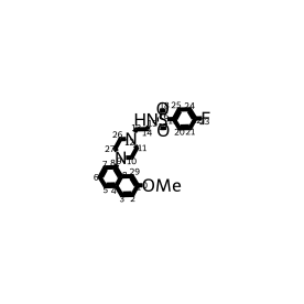 COc1ccc2cccc(N3CCN(CCNS(=O)(=O)c4ccc(F)cc4)CC3)c2c1